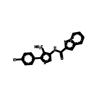 O=C(Nc1csc(-c2ccc(Cl)cc2)c1C(=O)O)c1cc2ccccn2n1